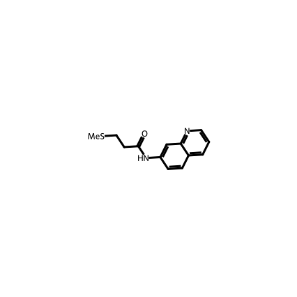 CSCCC(=O)Nc1ccc2cccnc2c1